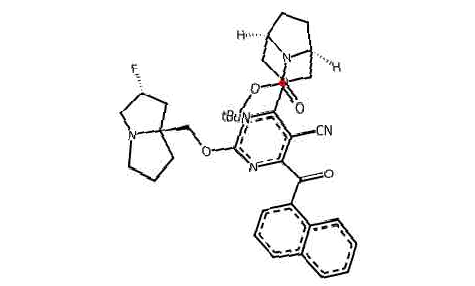 CC(C)(C)OC(=O)N1[C@@H]2CC[C@H]1CN(c1nc(OC[C@@]34CCCN3C[C@H](F)C4)nc(C(=O)c3cccc4ccccc34)c1C#N)C2